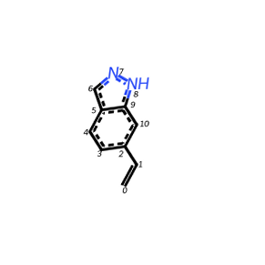 C=Cc1ccc2cn[nH]c2c1